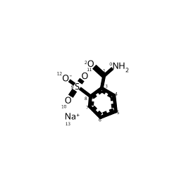 NC(=O)c1ccccc1S(=O)(=O)[O-].[Na+]